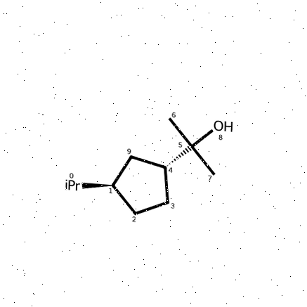 CC(C)[C@@H]1CC[C@@H](C(C)(C)O)C1